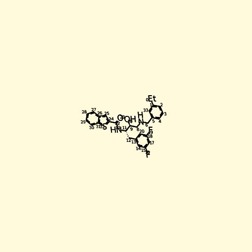 CCc1cccc(CNC[C@H](O)[C@H](Cc2cc(F)cc(F)c2)NC(=O)c2cc3ccccc3s2)c1